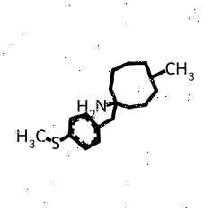 CSc1ccc(CC2(N)CCCCC(C)CCC2)cc1